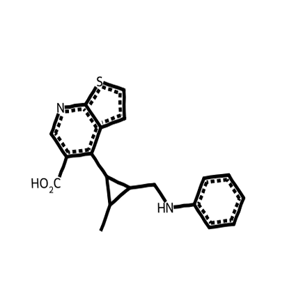 CC1C(CNc2ccccc2)C1c1c(C(=O)O)cnc2sccc12